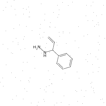 C=CC(NN)c1ccccc1